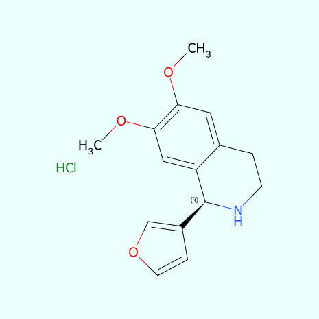 COc1cc2c(cc1OC)[C@H](c1ccoc1)NCC2.Cl